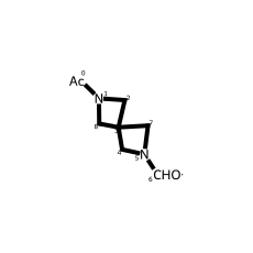 CC(=O)N1CC2(CN([C]=O)C2)C1